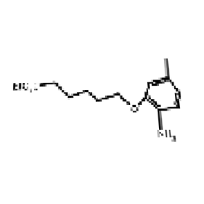 CCOC(=O)CCCCCOc1cc(C)ccc1N